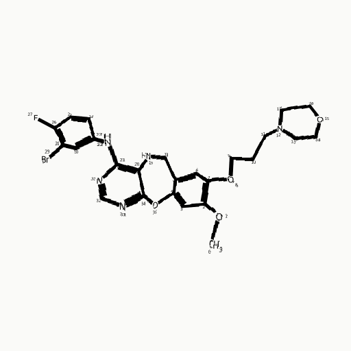 COc1cc2c(cc1OCCCN1CCOCC1)CNc1c(Nc3ccc(F)c(Br)c3)ncnc1O2